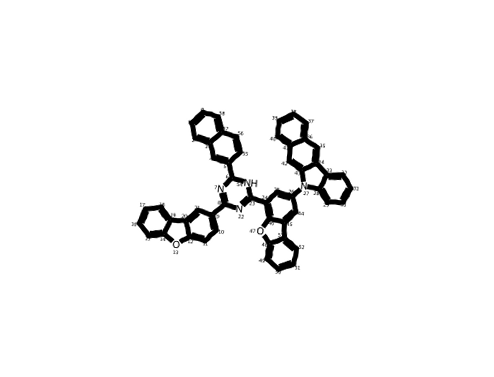 c1ccc2cc(C3N=C(c4ccc5oc6ccccc6c5c4)N=C(c4cc(-n5c6ccccc6c6cc7ccccc7cc65)cc5c4oc4ccccc45)N3)ccc2c1